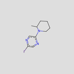 CC1CCCCN1c1cnc(I)cn1